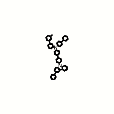 CC1C=C(c2cccc(N(c3ccc(C4=CC=C(N5c6ccc(-c7ccccc7)cc6C6C=CC=CC65)CC4)cc3)c3ccc(C4C=CC=CC4)cc3)c2)C=CC1